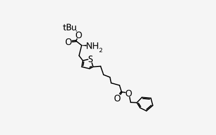 CC(C)(C)OC(=O)[C@@H](N)Cc1ccc(CCCCCC(=O)OCc2ccccc2)s1